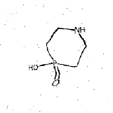 O=P1(O)CCNCC1